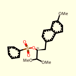 COc1ccc2cc(C[C@H](OS(=O)(=O)c3ccccc3)C(OC)OC)ccc2c1